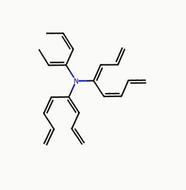 C=C/C=C\C(=C/C=C)N(C(/C=C\C)=C/C)C(/C=C\C=C)=C/C=C